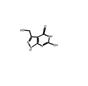 O=c1[nH]c(O)nc2[nH]nc(CO)c12